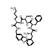 CC(C)C[C@@H](NC(=O)[C@@H](Cc1ccccc1)NC(=O)[C@H](N)Cc1ccccc1)C(=O)N[C@H](CCCCN)C(=O)NCc1ccc2c(c1)OCO2